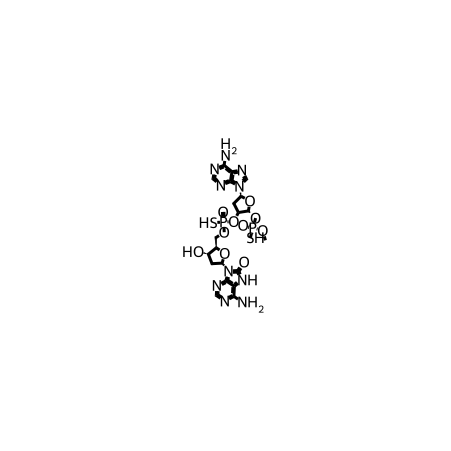 COP(=O)(S)O[C@H]1O[C@@H](n2cnc3c(N)ncnc32)CC1OP(=O)(S)OC[C@H]1O[C@@H](n2c(=O)[nH]c3c(N)ncnc32)C[C@@H]1O